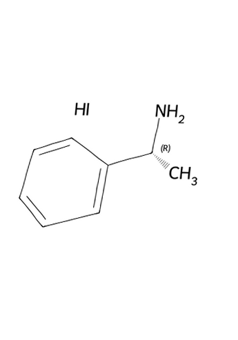 C[C@@H](N)c1ccccc1.I